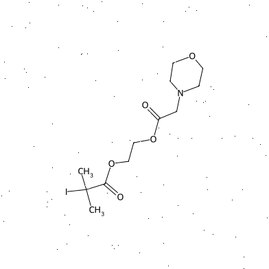 CC(C)(I)C(=O)OCCOC(=O)CN1CCOCC1